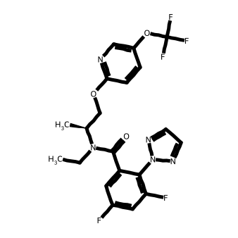 CCN(C(=O)c1cc(F)cc(F)c1-n1nccn1)[C@@H](C)COc1ccc(OC(F)(F)F)cn1